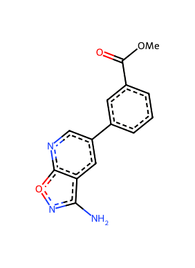 COC(=O)c1cccc(-c2cnc3onc(N)c3c2)c1